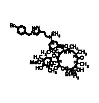 CC[C@H]1OC(=O)[C@H](C)[C@@H](O[C@H]2C[C@@](C)(OC)[C@@H](O)[C@H](C)O2)[C@H](C)[C@@H](O[C@H]2C[C@@H](N(C)CCc3cn(Cc4ccc(Br)cc4)nn3)C[C@@H](C)O2)[C@](C)(OC)C[C@@H](C)C(=O)[C@H](C)[C@@H](O)[C@]1(C)O